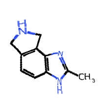 Cc1nc2c3c(ccc2[nH]1)CNC3